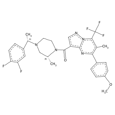 COc1ccc(-c2nc3c(C(=O)N4CCN([C@@H](C)c5ccc(F)c(F)c5)C[C@H]4C)cnn3c(C(F)(F)F)c2C)cc1